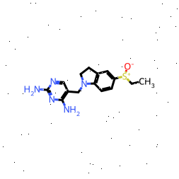 CC[S+]([O-])c1ccc2c(c1)CCN2Cc1cnc(N)nc1N